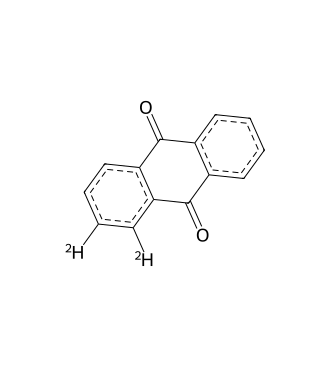 [2H]c1ccc2c(c1[2H])C(=O)c1ccccc1C2=O